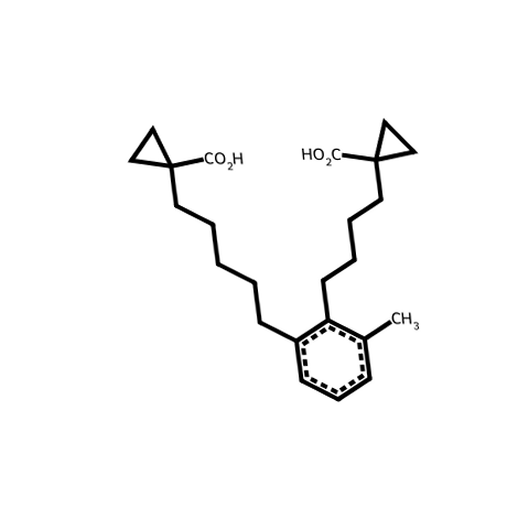 Cc1cccc(CCCCCC2(C(=O)O)CC2)c1CCCCC1(C(=O)O)CC1